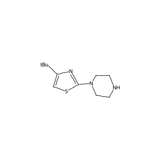 CC(C)(C)c1csc(N2CCNCC2)n1